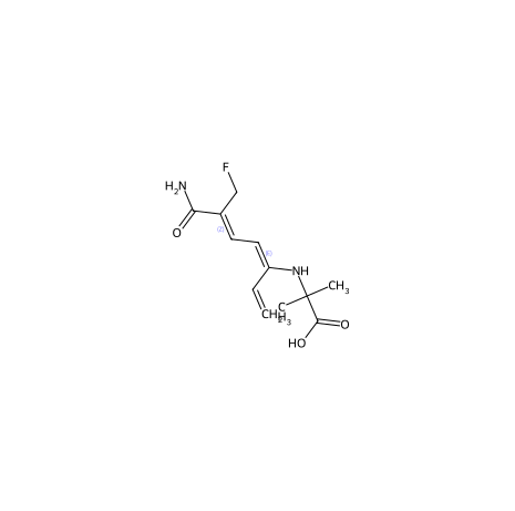 C=C/C(=C\C=C(/CF)C(N)=O)NC(C)(C)C(=O)O